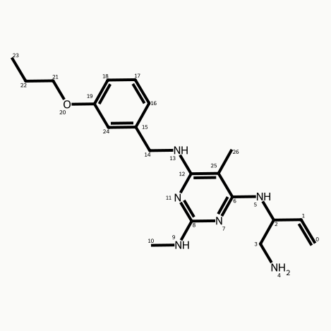 C=CC(CN)Nc1nc(NC)nc(NCc2cccc(OCCC)c2)c1C